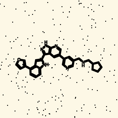 c1cc(-c2ccoc2)c2cc(-c3n[nH]c4ncc(-c5cncc(CNCC6CCCC6)c5)cc34)[nH]c2c1